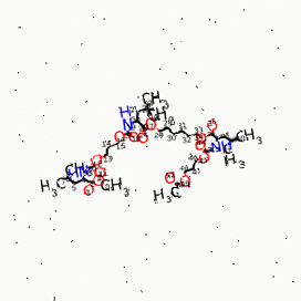 COC(=O)C(CC(C)C)NC(=O)OCCCOC(=O)NC(CC(C)C)C(=O)OCCCCCCOC(=O)C(CC(C)C)NC(=O)OCCCOC(C)=O